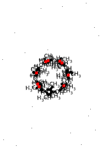 CCC1C[C@@H]2O[C@@H]3C(CC)C[C@H](O[C@@H]4C(CC)C[C@H](O[C@@H]5C(CC)C[C@H](O[C@@H]6C(CC)C[C@H](O[C@@H]7C(CC)C[C@H](O[C@@H]8C(CC)C[C@H](O[C@H]1[C@H](C)C2C)C(C)[C@H]8C)C(C)[C@H]7C)C(C)[C@H]6C)C(C)[C@H]5C)C(C)[C@H]4C)C(C)[C@H]3C